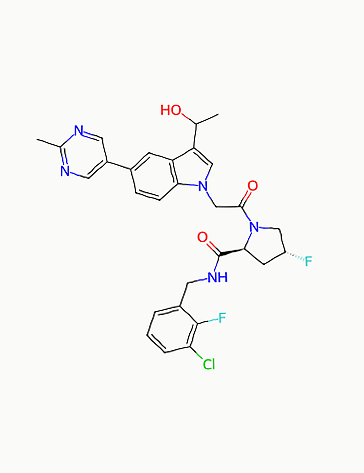 Cc1ncc(-c2ccc3c(c2)c(C(C)O)cn3CC(=O)N2C[C@H](F)C[C@H]2C(=O)NCc2cccc(Cl)c2F)cn1